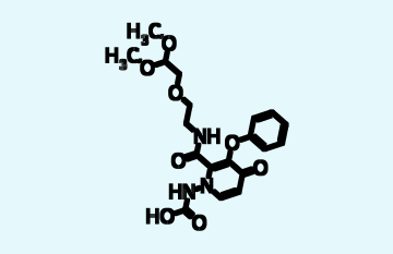 COC(COCCNC(=O)c1c(Oc2ccccc2)c(=O)ccn1NC(=O)O)OC